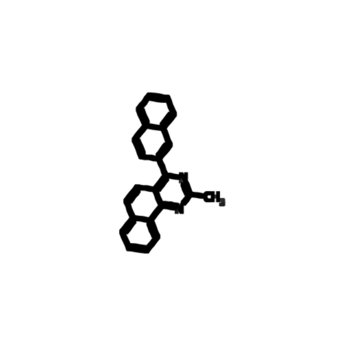 Cc1nc(-c2ccc3ccccc3c2)c2ccc3ccccc3c2n1